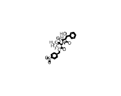 CC1(C)[C@H](C(=O)OCc2ccc([N+](=O)[O-])cc2)N2C(=O)[C@@H]([C@@H](O)c3ccccc3)[C@H]2[S@@+]1[O-]